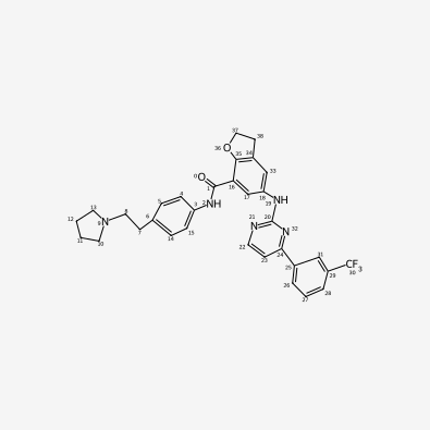 O=C(Nc1ccc(CCN2CCCC2)cc1)c1cc(Nc2nccc(-c3cccc(C(F)(F)F)c3)n2)cc2c1OCC2